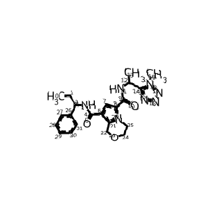 CC[C@@H](NC(=O)c1cc(C(=O)NC(C)c2nnnn2C)n2c1COCC2)c1ccccc1